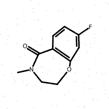 CN1CCOc2cc(F)ccc2C1=O